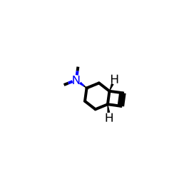 CN(C)[C@@H]1CC[C@H]2C#C[C@H]2C1